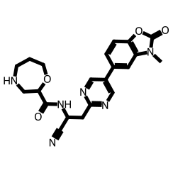 Cn1c(=O)oc2ccc(-c3cnc(CC(C#N)NC(=O)C4CNCCCO4)nc3)cc21